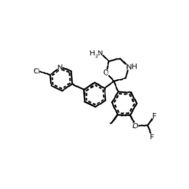 Cc1cc(C2(c3cccc(-c4ccc(Cl)nc4)c3)CNCC(N)O2)ccc1OC(F)F